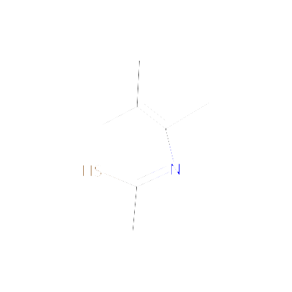 CC(C)=C(C)/N=C(/C)S